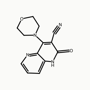 N#Cc1c(N2CCOCC2)c2ncccc2[nH]c1=O